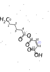 [CH2]CCCCC(=O)OC(=O)/C=C\C(=O)O